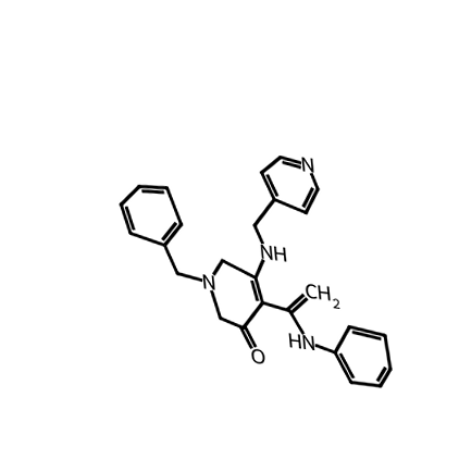 C=C(Nc1ccccc1)C1=C(NCc2ccncc2)CN(Cc2ccccc2)CC1=O